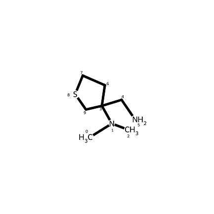 CN(C)C1(CN)CCSC1